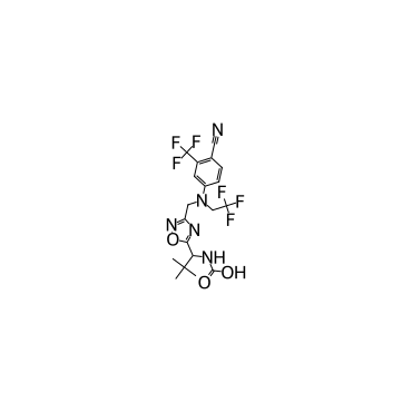 CC(C)(C)C(NC(=O)O)c1nc(CN(CC(F)(F)F)c2ccc(C#N)c(C(F)(F)F)c2)no1